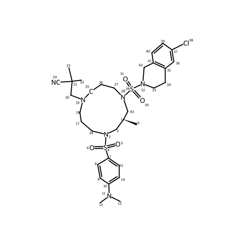 C[C@H]1CN(S(=O)(=O)c2ccc(N(C)C)cc2)CCCN(CC(C)(C)C#N)CCCN(S(=O)(=O)N2CCc3cc(Cl)ccc3C2)C1